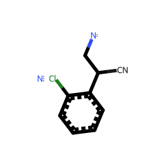 [N].[N]CC(C#N)c1ccccc1Cl